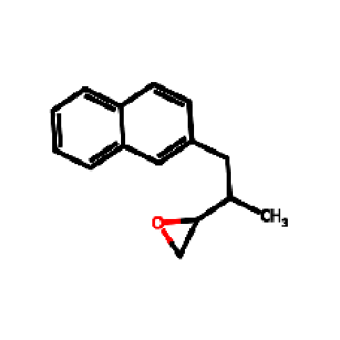 CC(Cc1ccc2ccccc2c1)C1CO1